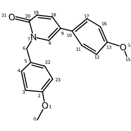 COc1ccc(Cn2cc(-c3ccc(OC)cc3)ccc2=O)cc1